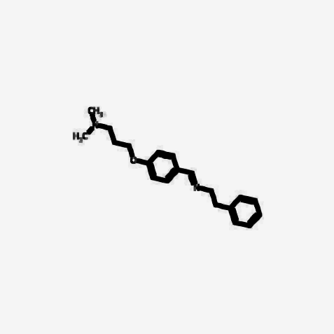 CN(C)CCCOc1ccc(C=NCCc2ccccc2)cc1